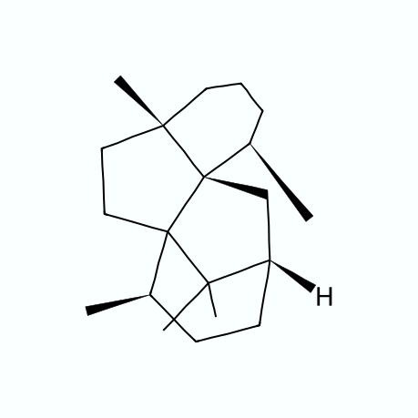 C[C@@H]1CC[C@H]2C[C@]34[C@H](C)CCC[C@@]3(C)CCC14C2(C)C